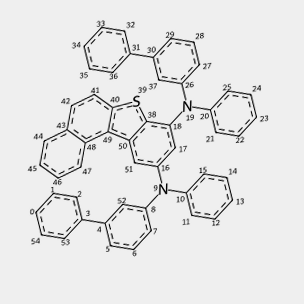 c1ccc(-c2cccc(N(c3ccccc3)c3cc(N(c4ccccc4)c4cccc(-c5ccccc5)c4)c4sc5ccc6ccccc6c5c4c3)c2)cc1